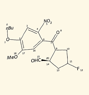 CCCCOc1cc([N+](=O)[O-])c(C(=O)C2CC(F)C[C@H]2C=O)cc1OC